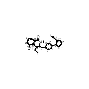 CCc1c(Cc2ccc(-c3ccccc3C#N)cc2)[nH]c(=O)c2cccc(O)c12